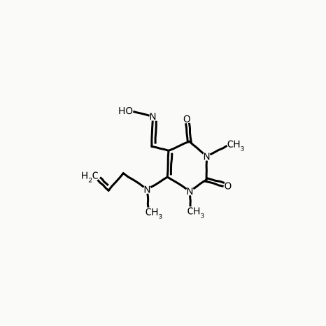 C=CCN(C)c1c(/C=N/O)c(=O)n(C)c(=O)n1C